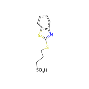 O=S(=O)(O)CCCSc1nc2ccccc2s1